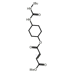 COC(=O)/C=C/C(=O)OC1CCC(NC(=O)NC(C)(C)C)CC1